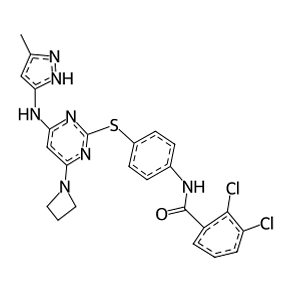 Cc1cc(Nc2cc(N3CCC3)nc(Sc3ccc(NC(=O)c4cccc(Cl)c4Cl)cc3)n2)[nH]n1